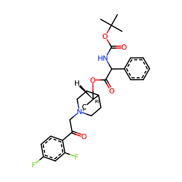 CC(C)(C)OC(=O)NC(C(=O)O[C@H]1C[N+]2(CC(=O)c3ccc(F)cc3F)CCC1CC2)c1ccccc1